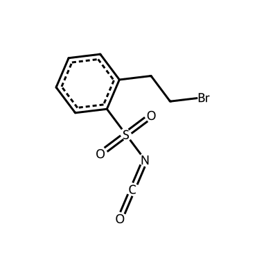 O=C=NS(=O)(=O)c1ccccc1CCBr